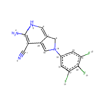 N#CC1=C(N)NC=C2CN(c3cc(F)c(F)c(F)c3)C=C21